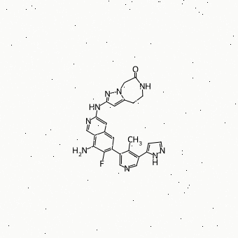 Cc1c(-c2ccn[nH]2)cncc1-c1cc2cc(Nc3cc4n(n3)CC(=O)NCC4)ncc2c(N)c1F